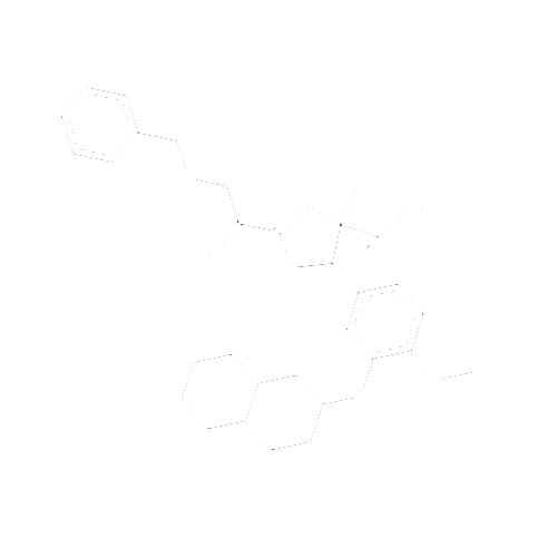 COc1ccc(C2CN(C(=O)COCc3ccccc3)CC2(C)[C@@H](C)O)cc1OC1CCC2CCCCC2C1